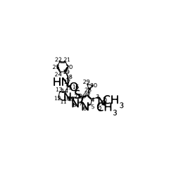 CN(C)Cc1cnc2nc(N3CCC[C@@H]3C(=O)NCc3ccccc3)sc2c1C1CC1